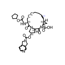 O=C(N[C@H]1CCCCC/C=C\[C@@H]2C[C@@]2(C(=O)O)NC(=O)[C@@H]2C[C@@H](OC(=O)N3Cc4ccncc4C3)CN2C1=O)OC1CCCC1